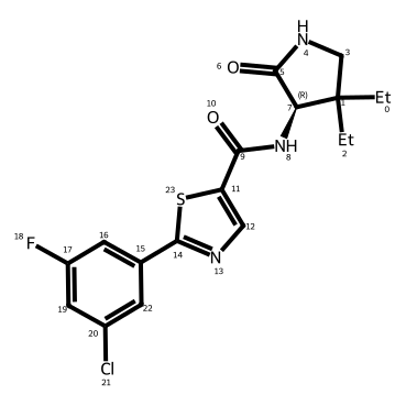 CCC1(CC)CNC(=O)[C@@H]1NC(=O)c1cnc(-c2cc(F)cc(Cl)c2)s1